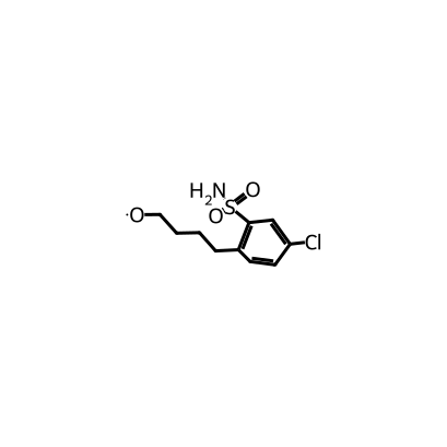 NS(=O)(=O)c1cc(Cl)ccc1CCCC[O]